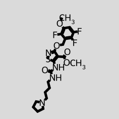 COC(=O)c1c(OCc2c(F)c(F)cc(OC)c2F)nsc1NC(=O)NCCCCN1CCCC1